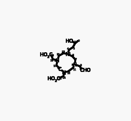 CC(O)CCN1CCN(CC=O)CCN(CC(=O)O)CCN(CC(=O)O)CC1